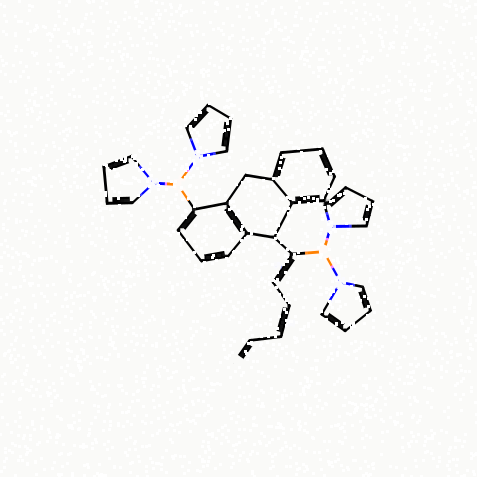 C=C/C=C\C=C(\C1c2ccccc2Cc2c1cccc2P(n1cccc1)n1cccc1)P(n1cccc1)n1cccc1